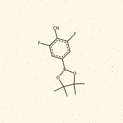 CC1(C)OB(c2cc(F)c(C#N)c(F)c2)OC1(C)C